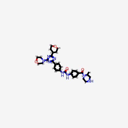 CC1CNCCN1C(=O)c1ccc(NC(=O)Nc2ccc(-c3nc(C4CCOCC4)nc(N4CCOCC4)n3)cc2)cc1